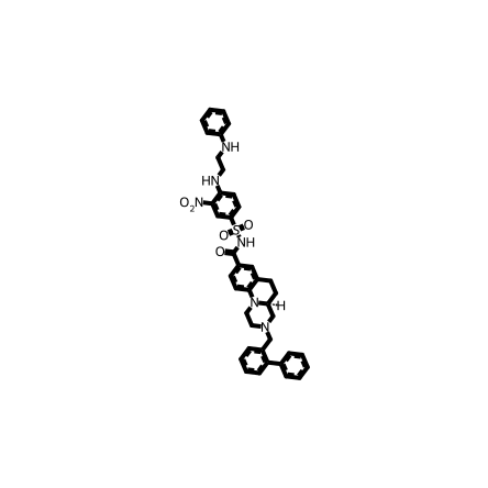 O=C(NS(=O)(=O)c1ccc(NCCNc2ccccc2)c([N+](=O)[O-])c1)c1ccc2c(c1)CC[C@H]1CN(Cc3ccccc3-c3ccccc3)CCN21